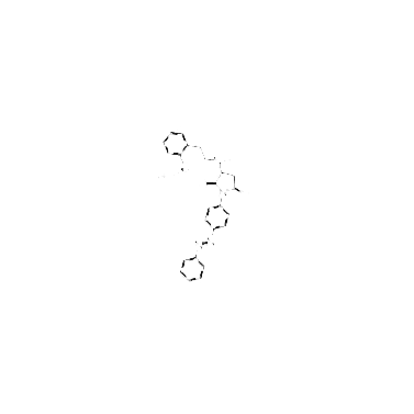 COc1ccccc1CCNC1CC(=O)N(c2ccc(N=Nc3ccccc3)cc2)C1=O